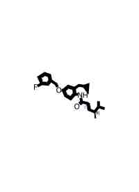 CC(C)[C@@H](C)/C=C/C(=O)Nc1ccc(OCc2cccc(F)c2)cc1CC1CC1